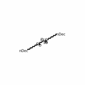 CCCCCCCCCCCCCCCCCCOC(=O)CCCC(C(=O)OCCCCCCCCCCCCCCCCCC)(C(C)C)C(C)C